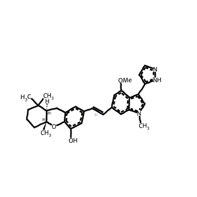 COc1cc(/C=C/c2cc(O)c3c(c2)C[C@@H]2C(C)(C)CCC[C@@]2(C)O3)cc2c1c(-c1ccn[nH]1)cn2C